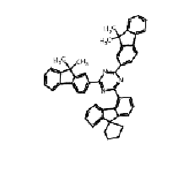 CC1(C)c2ccccc2-c2ccc(-c3nc(-c4ccc5c(c4)C(C)(C)c4ccccc4-5)nc(-c4cccc5c4-c4ccccc4C54CCCC4)n3)cc21